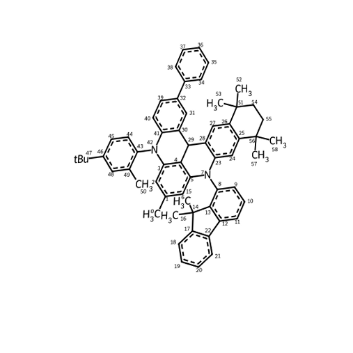 Cc1cc2c3c(c1)N(c1cccc4c1C(C)(C)c1ccccc1-4)c1cc4c(cc1C3c1cc(-c3ccccc3)ccc1N2c1ccc(C(C)(C)C)cc1C)C(C)(C)CCC4(C)C